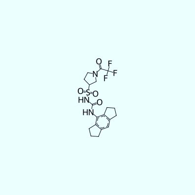 O=C(Nc1c2c(cc3c1CCC3)CCC2)NS(=O)(=O)C1CCN(C(=O)C(F)(F)F)C1